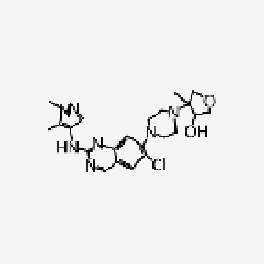 Cc1c(Nc2ncc3cc(Cl)c(N4CCN(C5(C)COCC5O)CC4)cc3n2)cnn1C